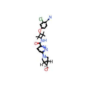 CC1(C)C(NC(=O)c2ccc(N3C[C@@H]4[C@H](C=O)[C@@H]4C3)nn2)C(C)(C)C1Oc1ccc(C#N)c(Cl)c1